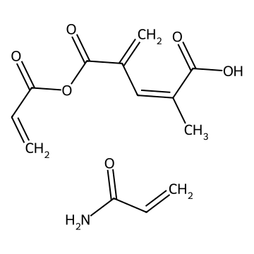 C=CC(=O)OC(=O)C(=C)C=C(C)C(=O)O.C=CC(N)=O